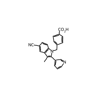 Cc1c(-c2cccnc2)n(Cc2ccc(C(=O)O)cc2)c2ccc(C#N)cc12